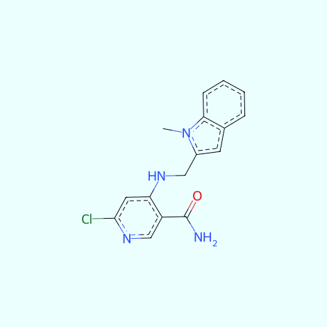 Cn1c(CNc2cc(Cl)ncc2C(N)=O)cc2ccccc21